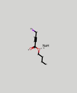 CCCCOC(=O)C#CCI.[NaH]